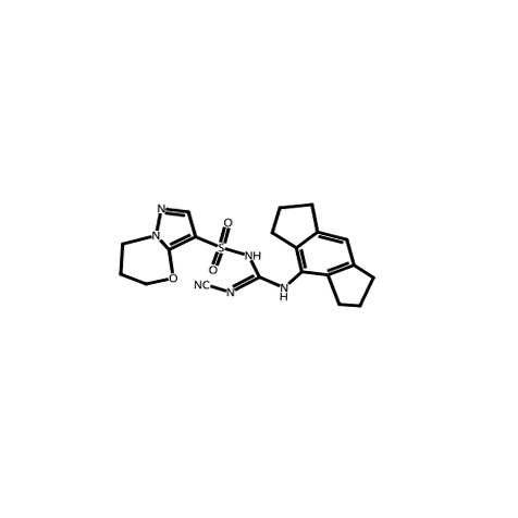 N#C/N=C(/Nc1c2c(cc3c1CCC3)CCC2)NS(=O)(=O)c1cnn2c1OCCC2